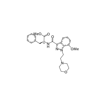 COC(=O)[C@H](Cc1ccccc1)NC(=O)c1nn(CCN2CCOCC2)c2c(OC)cccc12